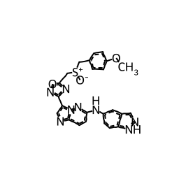 COc1ccc(C[S+]([O-])Cc2nc(-c3cnc4ccc(Nc5ccc6[nH]ncc6c5)nn34)no2)cc1